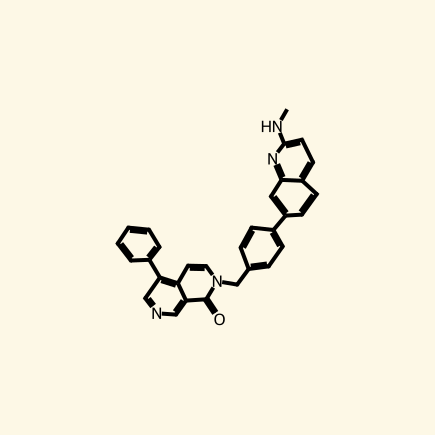 CNc1ccc2ccc(-c3ccc(Cn4ccc5c(-c6ccccc6)cncc5c4=O)cc3)cc2n1